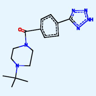 CC(C)(C)N1CCN(C(=O)c2ccc(-c3nn[nH]n3)cc2)CC1